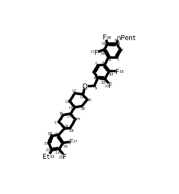 CCCCCc1ccc(-c2ccc(COC3CCC(C4CCC(c5ccc(CC)c(F)c5F)CC4)CC3)c(F)c2F)c(F)c1F